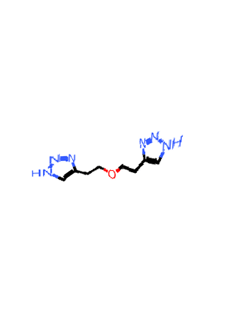 c1[nH]nnc1CCOCCc1c[nH]nn1